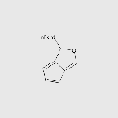 CCCCC[C]1OC=C2C=CC=C12